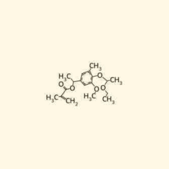 C=C(C)C(=O)OC(C)c1cc(C)c(OC(C)OCC)c(OC)c1